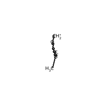 [CH2+][CH-]CCCCCOc1ccc(C=Cc2ccc(-c3ccc(-c4ccc(OCCCCCCCCCCCCC)c(F)c4)c(F)c3)cc2)cc1